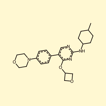 CC1CCC(Nc2ncc(-c3ccc(N4CCOCC4)cc3)c(OC3COC3)n2)CC1